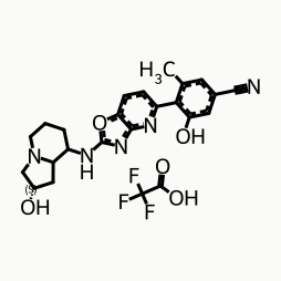 Cc1cc(C#N)cc(O)c1-c1ccc2oc(NC3CCCN4C[C@@H](O)CC34)nc2n1.O=C(O)C(F)(F)F